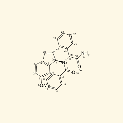 COc1ccc2c(c1)[C@H](N(C(=O)c1ccccc1)[C@@H](C(N)=O)c1cccnc1)CC2